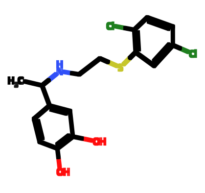 CC(NCCSc1cc(Cl)ccc1Cl)c1ccc(O)c(O)c1